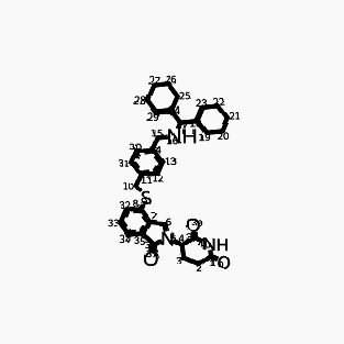 O=C1CCC(N2Cc3c(SCc4ccc(CNC(C5CCCCC5)C5CCCCC5)cc4)cccc3C2=O)C(=O)N1